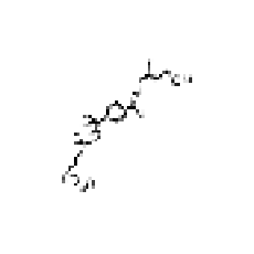 CC(CCO)CCOC(=O)c1ccc(C(=O)OC(=O)CCCCC(=O)O)cc1